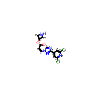 O=C(/C=C\n1cnc(-c2cc(Cl)nc(Cl)c2)n1)OC1CNC1